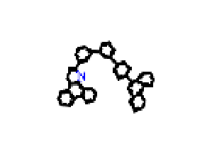 c1cc(-c2ccc(-c3cc4ccccc4c4ccccc34)cc2)cc(-c2cccc(-c3ccc4c5ccccc5c5ccccc5c4n3)c2)c1